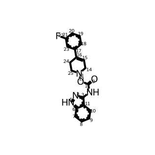 O=C(Nc1n[nH]c2ccccc12)ON1CC=C(c2cccc(F)c2)CC1